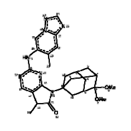 COC1(OC)C2CC3CC1CC(N1C(=O)C(C)c4cnc(Nc5cn6ncnc6cc5C)nc41)(C3)C2